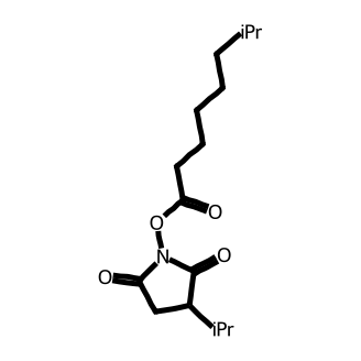 CC(C)CCCCCC(=O)ON1C(=O)CC(C(C)C)C1=O